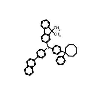 CC1(C)c2ccccc2-c2ccc(N(c3ccc(-c4ccc5ccccc5c4)cc3)c3ccc(C4(c5ccccc5)CCCCCCC4)cc3)cc21